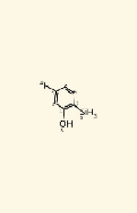 Oc1cc(I)ccc1[SiH3]